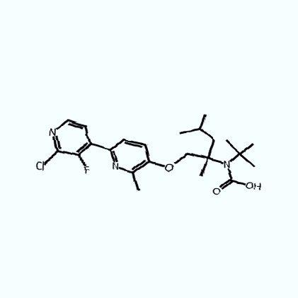 Cc1nc(-c2ccnc(Cl)c2F)ccc1OC[C@](C)(CC(C)C)N(C(=O)O)C(C)(C)C